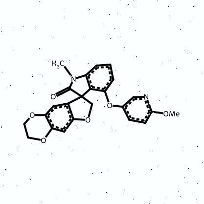 COc1ccc(Oc2cccc3c2C2(COc4cc5c(cc42)OCCO5)C(=O)N3C)cn1